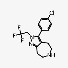 FC(F)(F)Cn1nc2c(c1-c1ccc(Cl)cc1)CCNCC2